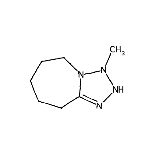 CN1NN=C2CCCCCN21